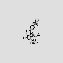 COC(=O)c1c[nH]c(=O)c2c(Nc3ccc(S(=O)(=O)N4CCC4)cc3)nn(CC3CC3)c12